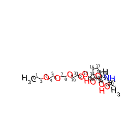 CCCOCCOCCOCCOOC[C@@]12CC[C@@H](O1)[C@H](NC(C)=O)[C@@H](O)[C@H]2O